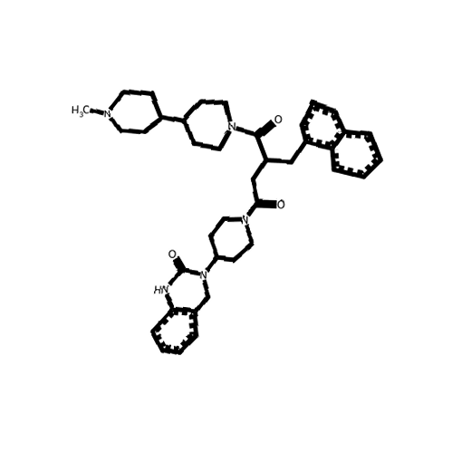 CN1CCC(C2CCN(C(=O)C(CC(=O)N3CCC(N4Cc5ccccc5NC4=O)CC3)Cc3cccc4ccccc34)CC2)CC1